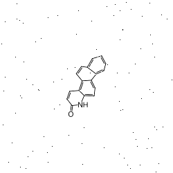 O=c1ccc2c(ccc3c4ccccc4ccc23)[nH]1